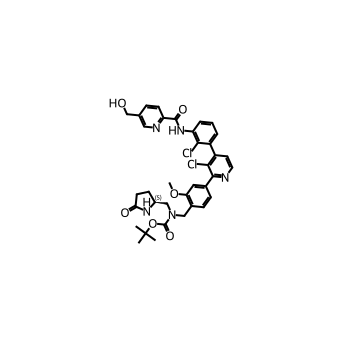 COc1cc(-c2nccc(-c3cccc(NC(=O)c4ccc(CO)cn4)c3Cl)c2Cl)ccc1CN(C[C@@H]1CCC(=O)N1)C(=O)OC(C)(C)C